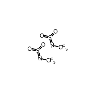 O=S(=O)=NC(F)(F)F.O=S(=O)=NC(F)(F)F